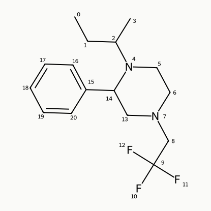 CCC(C)N1CCN(CC(F)(F)F)CC1c1ccccc1